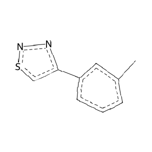 Cc1cccc(-c2csnn2)c1